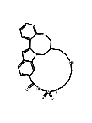 O=C1NS(=O)(=O)NCCCNCCC2COc3ccccc3-c3cc4ccc1cc4n3C2